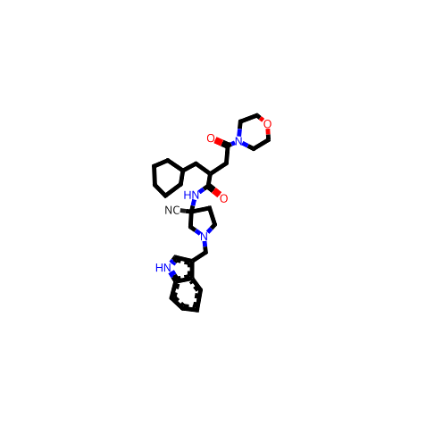 N#CC1(NC(=O)C(CC(=O)N2CCOCC2)CC2CCCCC2)CCN(Cc2c[nH]c3ccccc23)C1